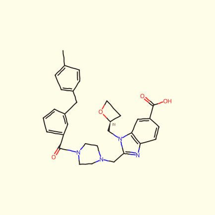 Cc1ccc(Cc2cccc(C(=O)N3CCN(Cc4nc5ccc(C(=O)O)cc5n4C[C@@H]4CCO4)CC3)c2)cc1